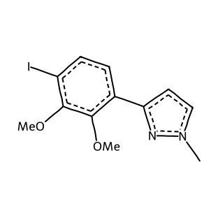 COc1c(I)ccc(-c2ccn(C)n2)c1OC